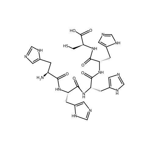 N[C@@H](Cc1cnc[nH]1)C(=O)N[C@@H](Cc1cnc[nH]1)C(=O)N[C@@H](Cc1cnc[nH]1)C(=O)N[C@@H](Cc1cnc[nH]1)C(=O)N[C@@H](CS)C(=O)O